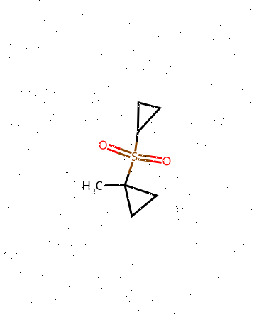 CC1(S(=O)(=O)C2CC2)CC1